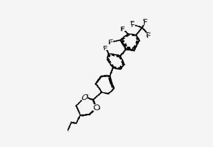 CCCC1COC(C2CC=C(c3ccc(-c4ccc(C(F)(F)F)c(F)c4F)c(F)c3)CC2)OC1